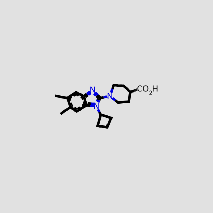 Cc1cc2nc(N3CCC(C(=O)O)CC3)n(C3CCC3)c2cc1C